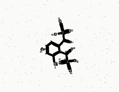 N#Cc1cccc(C(=O)S(=O)(=O)[O-])c1C(=O)S(=O)(=O)[O-].[Co+2]